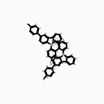 Cc1ccc(-c2ccc3c(c2)c2ccccc2n3-c2ccc(C(F)(F)F)cc2-c2c(C#N)cccc2-n2c3ccccc3c3cc(-c4ccc(C)cc4)ccc32)cc1